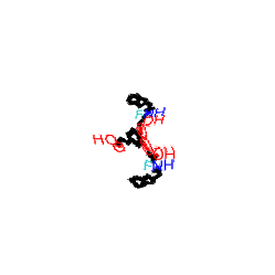 CC(C)(CC1Cc2ccccc2C1)NC(F)C(O)COc1ccc(CCC(=O)O)cc1OCC(O)C(F)NC(C)(C)CC1Cc2ccccc2C1